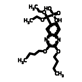 CCCCOc1nc2ccc(C(OCC)(OCC)P(=O)(O)O)cc2nc1OCCCC